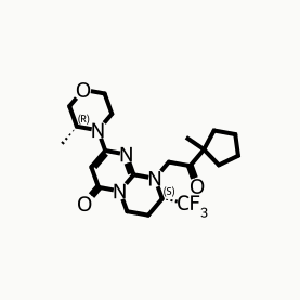 C[C@@H]1COCCN1c1cc(=O)n2c(n1)N(CC(=O)C1(C)CCCC1)[C@H](C(F)(F)F)CC2